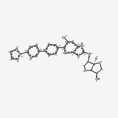 O[C@@H]1CO[C@H]2C1OC[C@H]2Oc1nc2nc(-c3ccc(-c4ccc(-n5nccn5)nc4)cc3)c(Cl)cc2[nH]1